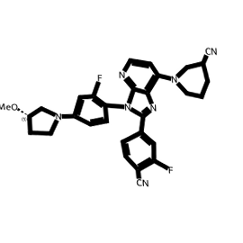 CO[C@H]1CCN(c2ccc(-n3c(-c4ccc(C#N)c(F)c4)nc4c(N5CCCC(C#N)C5)ccnc43)c(F)c2)C1